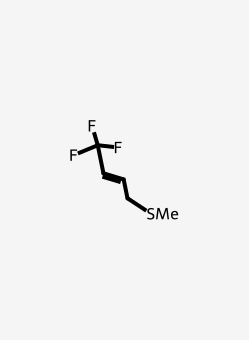 [CH2]SCC=CC(F)(F)F